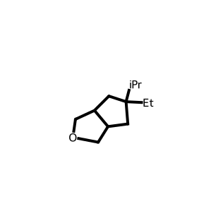 CCC1(C(C)C)CC2COCC2C1